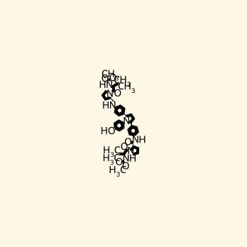 COC(=O)N[C@H](C(=O)N1CCC[C@H]1CNc1ccc([C@@H]2CC[C@@H](c3ccc(NC(=O)[C@@H]4CCCN4C(=O)[C@@H](NC(=O)OC)C(C)C)cc3)N2c2ccc(O)cc2)cc1)C(C)C